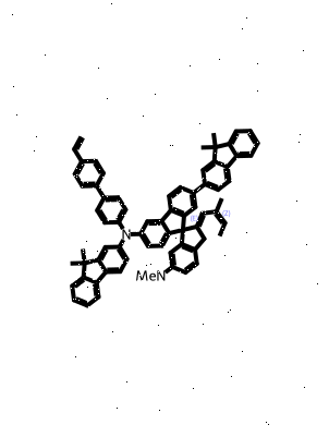 C=Cc1ccc(-c2ccc(N(c3ccc4c(c3)-c3ccc(-c5ccc6c(c5)C(C)(C)c5ccccc5-6)cc3C43/C(=C/C(C)=C\C)Cc4ccc(NC)cc43)c3ccc4c(c3)C(C)(C)c3ccccc3-4)cc2)cc1